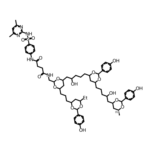 CCC1CC(CCCC2CC(CC(O)CCCC3CC(CCCC(O)CC4C[C@H](C)OC(c5ccc(O)cc5)O4)OC(c4ccc(O)cc4)O3)OC(CNC(=O)CCC(=O)Nc3ccc(S(=O)(=O)Nc4nc(C)cc(C)n4)cc3)O2)OC(c2ccc(O)cc2)O1